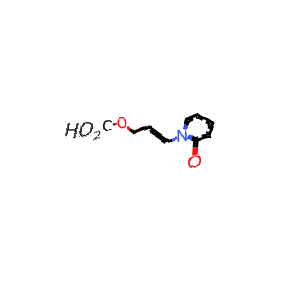 O=C(O)OCC=Cn1ccccc1=O